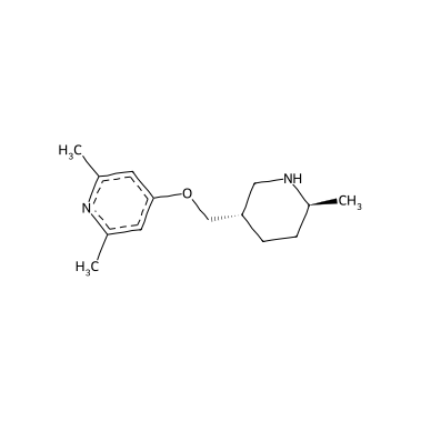 Cc1cc(OC[C@H]2CC[C@H](C)NC2)cc(C)n1